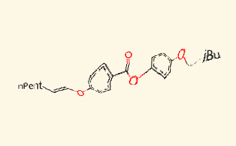 CCCCC/C=C/Oc1ccc(C(=O)Oc2ccc(OC[C@@H](C)CC)cc2)cc1